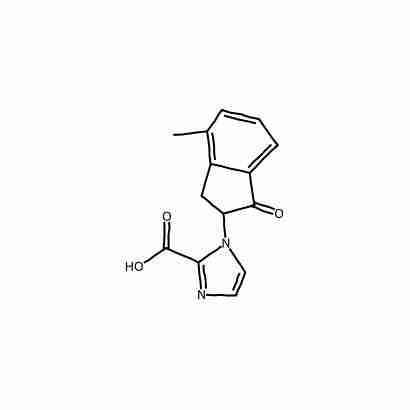 Cc1cccc2c1CC(n1ccnc1C(=O)O)C2=O